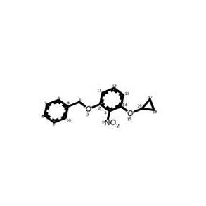 O=[N+]([O-])c1c(OCc2ccccc2)cccc1OC1CC1